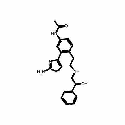 CC(=O)Nc1ccc(CCNCC(O)c2ccccc2)c(-c2csc(N)n2)c1